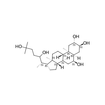 C[C@H](C(O)CCC(C)(C)O)[C@H]1CC[C@H]2[C@@H]3C[C@H](O)[C@@H]4C[C@H](O)[C@@H](O)C[C@]4(C)[C@H]3CC[C@]12C